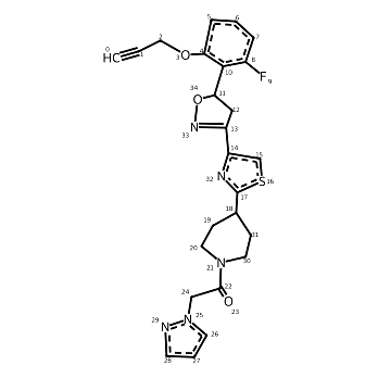 C#CCOc1cccc(F)c1C1CC(c2csc(C3CCN(C(=O)Cn4cccn4)CC3)n2)=NO1